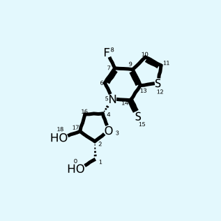 OC[C@H]1O[C@@H](n2cc(F)c3ccsc3c2=S)CC1O